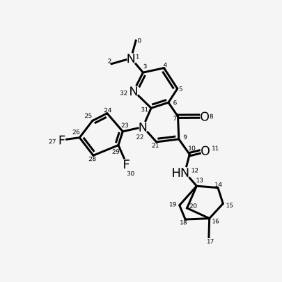 CN(C)c1ccc2c(=O)c(C(=O)NC34CCC(C)(CC3)C4)cn(-c3ccc(F)cc3F)c2n1